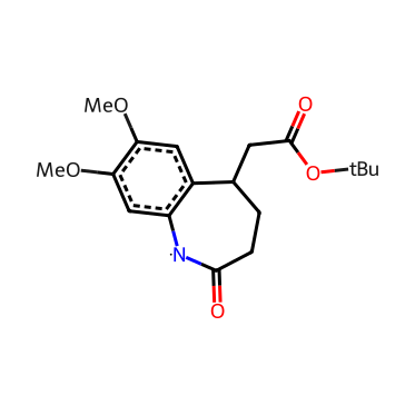 COc1cc2c(cc1OC)C(CC(=O)OC(C)(C)C)CCC(=O)[N]2